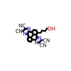 [C-]#[N+]c1nc2c3cccc4c5nc(C#N)c(C#N)nc5c5c(CCCCO)ccc(c2nc1[N+]#[C-])c5c34